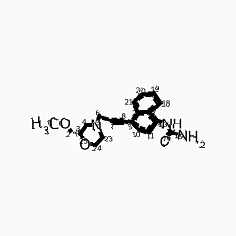 COC[C@@H]1CN(CC#Cc2ccc(NC(N)=O)c3ccccc23)CCO1